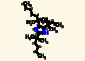 CCCCCC(C)(C)c1nc(C(C)(C)CCCC)[nH]c1C(C)(C)CC